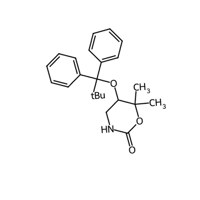 CC1(C)OC(=O)NCC1OC(c1ccccc1)(c1ccccc1)C(C)(C)C